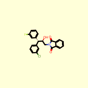 O=C1c2ccccc2C(=O)N1C[C@H](O)[C@@H](c1cccc(F)c1)c1cccc(Cl)c1